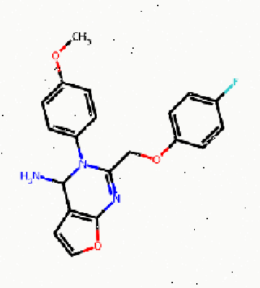 COc1ccc(N2C(COc3ccc(F)cc3)=Nc3occc3C2N)cc1